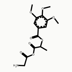 COc1cc(C(=O)SC(C)C(=O)OC(=O)CN)cc(OC)c1OC